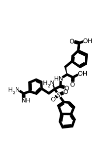 N=C(N)c1cccc(C[C@](N)(C(=O)N[C@@H](Cc2cccc(C(=O)O)c2)C(=O)O)S(=O)(=O)c2ccc3ccccc3c2)c1